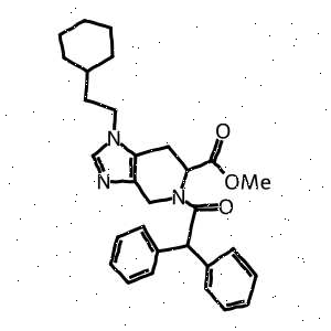 COC(=O)C1Cc2c(ncn2CCC2CCCCC2)CN1C(=O)C(c1ccccc1)c1ccccc1